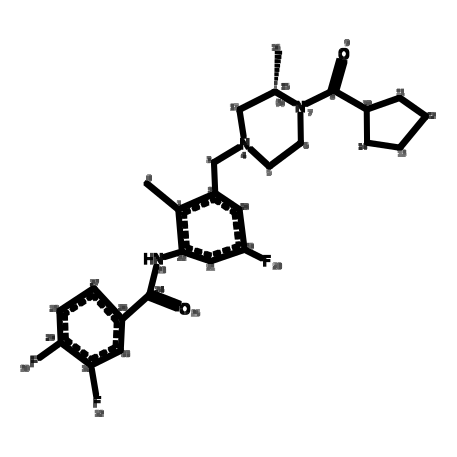 Cc1c(CN2CCN(C(=O)C3CCCC3)[C@@H](C)C2)cc(F)cc1NC(=O)c1ccc(F)c(F)c1